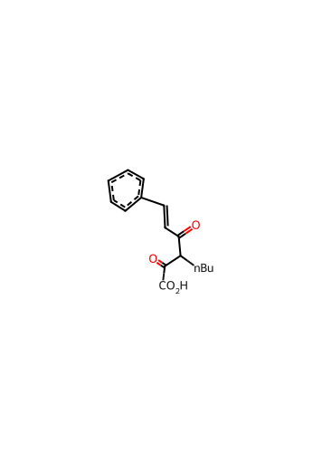 CCCCC(C(=O)C=Cc1ccccc1)C(=O)C(=O)O